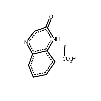 CC(=O)O.O=c1cnc2ccccc2[nH]1